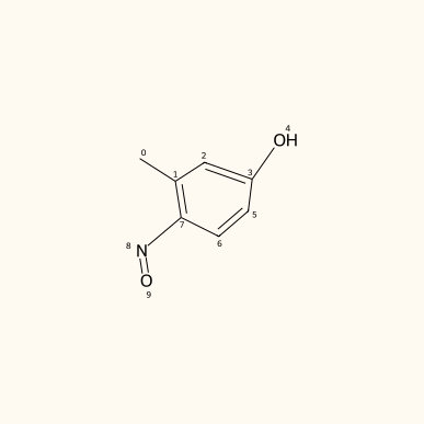 Cc1cc(O)ccc1N=O